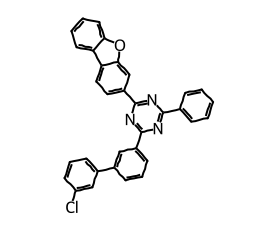 Clc1cccc(-c2cccc(-c3nc(-c4ccccc4)nc(-c4ccc5c(c4)oc4ccccc45)n3)c2)c1